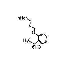 CCCCCCCCCCCCOc1ccccc1N(C)C=O